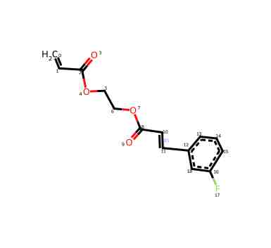 C=CC(=O)OCCOC(=O)/C=C/c1cccc(F)c1